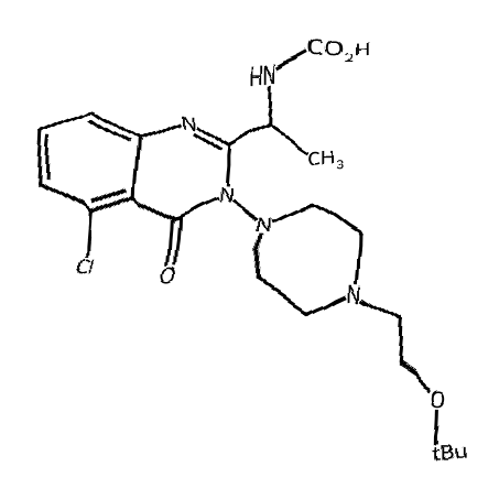 CC(NC(=O)O)c1nc2cccc(Cl)c2c(=O)n1N1CCN(CCOC(C)(C)C)CC1